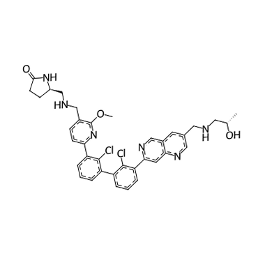 COc1nc(-c2cccc(-c3cccc(-c4cc5ncc(CNC[C@H](C)O)cc5cn4)c3Cl)c2Cl)ccc1CNC[C@H]1CCC(=O)N1